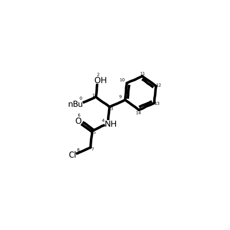 CCCCC(O)C(NC(=O)CCl)c1ccccc1